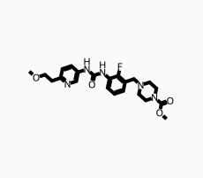 COCCc1ccc(NC(=O)Nc2cccc(CN3CCN(C(=O)OC)CC3)c2F)cn1